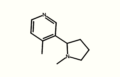 Cc1ccncc1C1CCCN1C